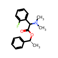 C[C@@H](OC(=O)C(c1ccccc1F)N(C)C)c1ccccc1